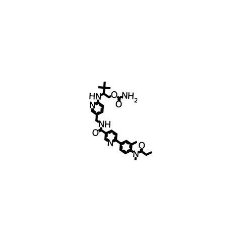 CCC(=O)N(C)c1ccc(-c2ccc(C(=O)NCc3ccc(NC(COC(N)=O)C(C)(C)C)nc3)cn2)cc1C